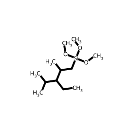 CCC(C(C)C)C(C)C[Si](OC)(OC)OC